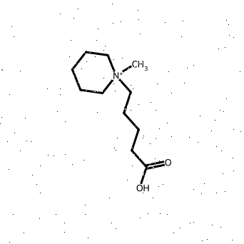 C[N+]1(CCCCC(=O)O)CCCCC1